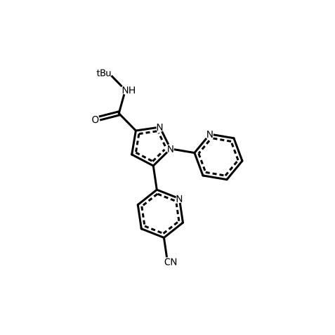 CC(C)(C)NC(=O)c1cc(-c2ccc(C#N)cn2)n(-c2ccccn2)n1